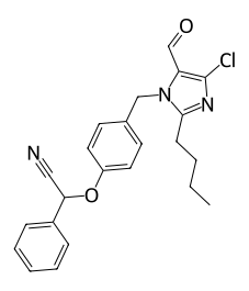 CCCCc1nc(Cl)c(C=O)n1Cc1ccc(OC(C#N)c2ccccc2)cc1